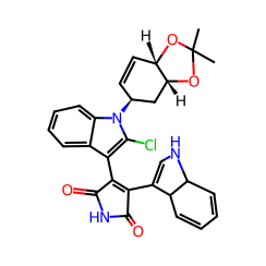 CC1(C)O[C@H]2C=C[C@H](n3c(Cl)c(C4=C(C5=CNC6C=CC=CC56)C(=O)NC4=O)c4ccccc43)C[C@H]2O1